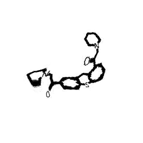 O=C(CN1CCCCC1)c1ccc2c(c1)Cc1c(cccc1C(=O)CN1CCCCC1)S2